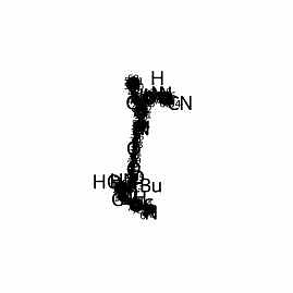 Cc1ncsc1-c1ccc(CNC(=O)[C@@H]2C[C@@H](O)CN2C(=O)[C@@H](NC(=O)COCCCCOCCCCn2cc(-c3ccc(N(C(=O)NCc4ccccc4)[C@H]4CC[C@H](Nc5ccc(C#N)cn5)CC4)cc3)cn2)C(C)(C)C)cc1